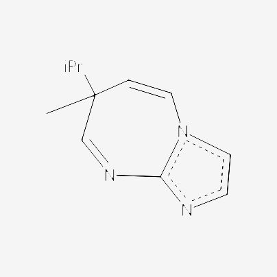 CC(C)C1(C)C=Cn2ccnc2N=C1